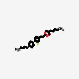 CCCCCC1COC(CCc2ccc([C@H]3CC[C@H](CCCCC)CC3)c(F)c2)OC1